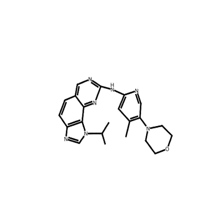 Cc1cc(Nc2ncc3ccc4ncn(C(C)C)c4c3n2)ncc1N1CCOCC1